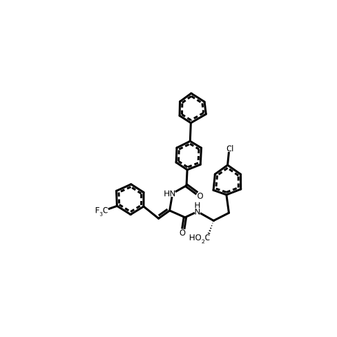 O=C(N[C@H](Cc1ccc(Cl)cc1)C(=O)O)C(=Cc1cccc(C(F)(F)F)c1)NC(=O)c1ccc(-c2ccccc2)cc1